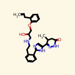 C=CCc1ccccc1OCC(O)CNCCc1ccccc1-c1ncc(C2=NNC(=O)CC2C)[nH]1